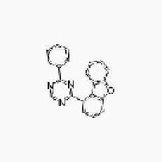 c1ccc(-c2ncnc(-c3cccc4oc5ccccc5c34)n2)cc1